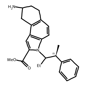 CCC([C@@H](C)c1ccccc1)n1c(C(=O)OC)cc2c3c(ccc21)CCC(N)C3